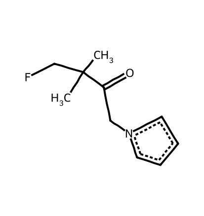 CC(C)(CF)C(=O)Cn1cccc1